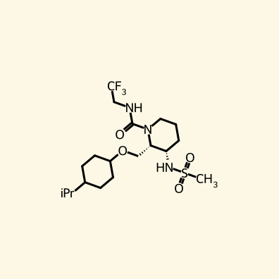 CC(C)C1CCC(OC[C@H]2[C@@H](NS(C)(=O)=O)CCCN2C(=O)NCC(F)(F)F)CC1